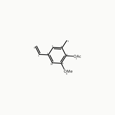 C=Cc1cc(C)c(OC(C)=O)c(OC)c1